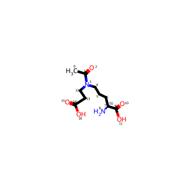 CC(=O)N(CCC[C@H](N)C(=O)O)CCC(=O)O